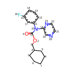 O=C(OCC1CCCCC1)N(c1cccc(F)c1)c1cnccn1